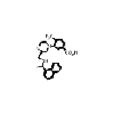 C[C@@H](NCC1CN(c2cc(C(=O)O)ccc2C(F)(F)F)CCO1)c1cccc2ccccc12